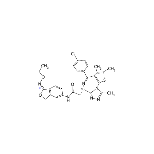 CCO/N=C1/OCc2cc(NC(=O)C[C@@H]3N=C(c4ccc(Cl)cc4)c4c(sc(C)c4C)-n4c(C)nnc43)ccc21